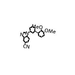 COc1cccc(-c2cccc(-n3cnc4cc(C#N)ccc43)c2)c1OC